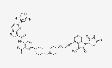 Cn1c(=O)n(C2CCC(=O)NC2=O)c2cccc(C#CCOC3CCN(C[C@H]4CC[C@H](c5ccc(NC(=O)c6cnn7ccc(N8C[C@H]9C[C@@H]8CO9)nc67)c(C(F)F)n5)CC4)CC3)c21